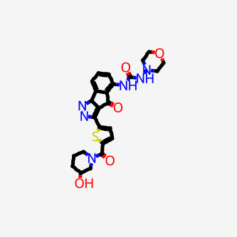 O=C(Nc1cccc2c1C(=O)C1=C(c3ccc(C(=O)N4CCCC(O)C4)s3)N=NC12)NN1CCOCC1